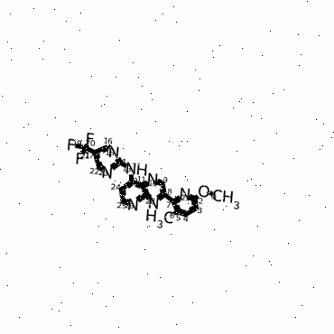 COc1ccc(C)c(-c2cnc3c(Nc4ncc(C(F)(F)F)cn4)ccnc3n2)n1